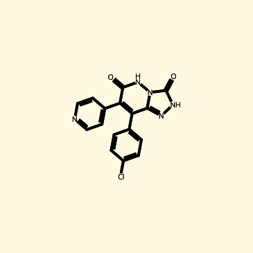 O=c1[nH]n2c(=O)[nH]nc2c(-c2ccc(Cl)cc2)c1-c1ccncc1